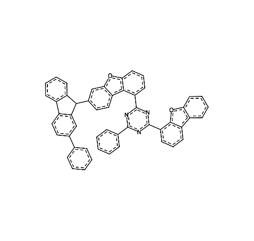 c1ccc(-c2ccc3c(c2)C(c2ccc4c(c2)oc2cccc(-c5nc(-c6ccccc6)nc(-c6cccc7c6oc6ccccc67)n5)c24)c2ccccc2-3)cc1